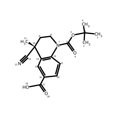 CC(C)(C)OC(=O)N1CC[C@@](C)(C#N)c2cc(C(=O)O)ccc21